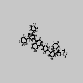 CC1(C)c2ccccc2-c2c(-c3ccc(-c4ccc(-c5cc(-c6ccccc6)nc(-c6ccccc6)n5)c5ccccc45)cc3)cccc21